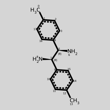 Cc1ccc([C@@H](N)[C@H](N)c2ccc(C)cc2)cc1